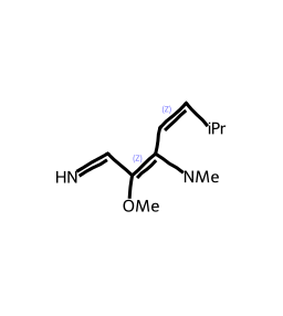 CNC(/C=C\C(C)C)=C(/C=N)OC